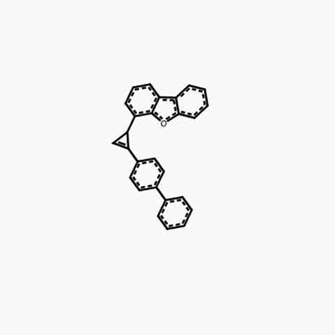 C1=C(c2ccc(-c3ccccc3)cc2)C1c1cccc2c1oc1ccccc12